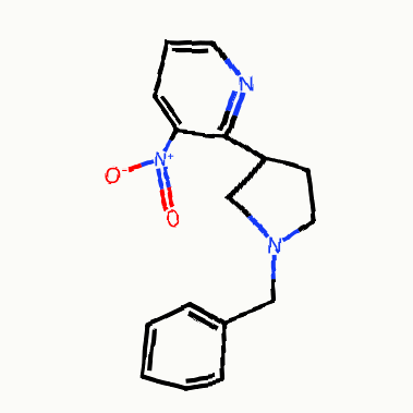 O=[N+]([O-])c1cccnc1C1CCN(Cc2ccccc2)C1